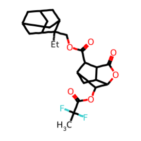 CCC1(COC(=O)C2C3CC4C(OC(=O)C42)C3OC(=O)C(C)(F)F)C2CC3CC(C2)CC1C3